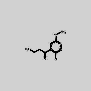 CCCC(=N)c1cc(NN)nnc1Cl